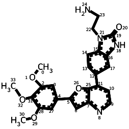 COc1cc(-c2cc3nccc(-c4ccc5c(c4)[nH]c(=O)n5CCN)c3o2)cc(OC)c1OC